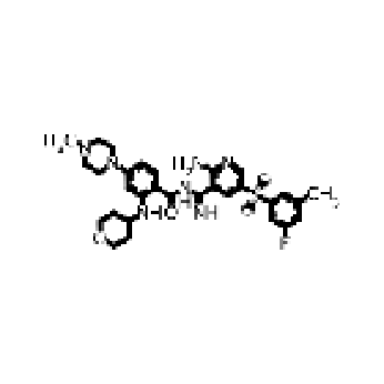 Cc1cc(F)cc(S(=O)(=O)c2cnc(N)c(C(=N)NC(=O)c3ccc(N4CCN(C)CC4)cc3NC3CCOCC3)c2)c1